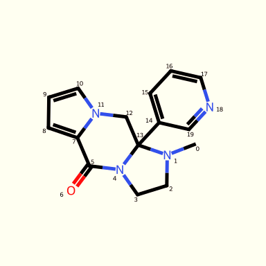 CN1CCN2C(=O)c3cccn3CC12c1cccnc1